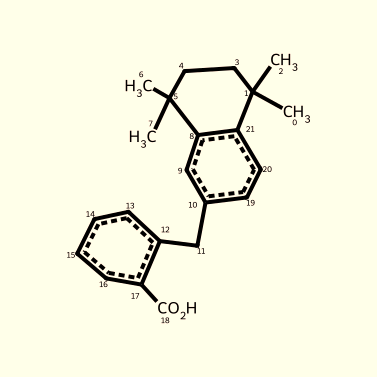 CC1(C)CCC(C)(C)c2cc(Cc3ccccc3C(=O)O)ccc21